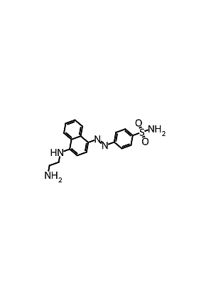 NCCNc1ccc(N=Nc2ccc(S(N)(=O)=O)cc2)c2ccccc12